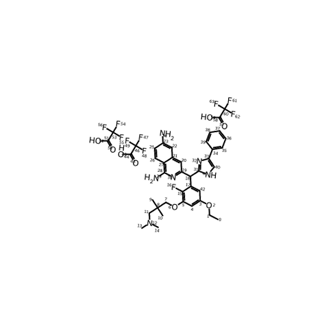 CCOc1cc(OCC(C)(C)CN(C)C)c(F)c(C(c2cc3cc(N)ccc3c(N)n2)c2nc(-c3ccccc3)c[nH]2)c1.O=C(O)C(F)(F)F.O=C(O)C(F)(F)F.O=C(O)C(F)(F)F